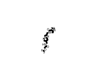 Cc1nonc1C(=O)NCc1cn2ncc(CNC(=O)COC(F)F)cc2n1